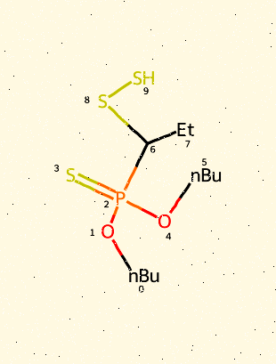 CCCCOP(=S)(OCCCC)C(CC)SS